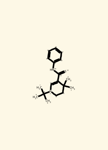 CC1(C)CCN(C(C)(C)C)C=C1C(=S)Nc1ccccc1